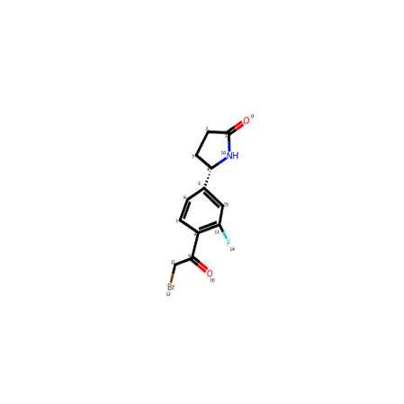 O=C1CC[C@@H](c2ccc(C(=O)CBr)c(F)c2)N1